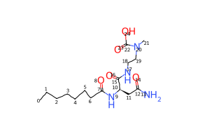 CCCCCCCC(=O)N[C@H](CC(N)=O)C(=O)NCCN(C)C(=O)O